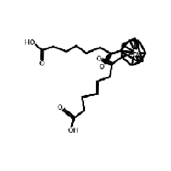 O=C(O)CCCCCC(=O)[C]12[CH]3[CH]4[CH]5[CH]1[Fe]45321678[CH]2[CH]1[CH]6[C]7(C(=O)CCCCCC(=O)O)[CH]28